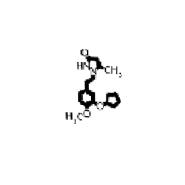 COc1ccc(CCn2[nH]c(=O)cc2C)cc1OC1CCCC1